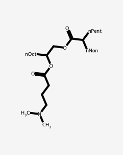 CCCCCCCCCC(CCCCC)C(=O)OCC(CCCCCCCC)OC(=O)CCCN(C)C